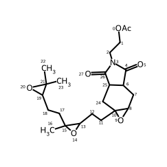 CC(=O)OCCN1C(=O)C2CC3OC3(CCC3OC3(C)CCC3OC3(C)C)CC2C1=O